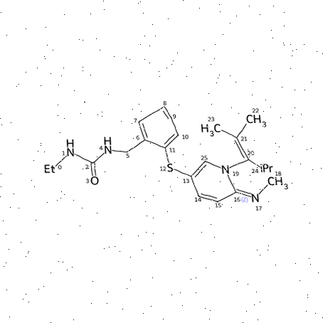 CCNC(=O)NCc1ccccc1Sc1cc/c(=N/C)n(C(=C(C)C)C(C)C)c1